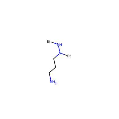 CCNN(CC)CCCN